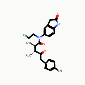 CC(=O)O[C@@H](C(=O)Cc1ccc(C#N)cc1)[C@@H](OC(C)=O)C(=O)N(CCCl)c1ccc2c(c1)CC(=O)N2